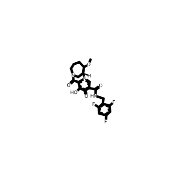 COC1CCCN2C[C@H]1n1cc(C(=O)NCc3c(F)cc(F)cc3F)c(=O)c(O)c1C2=O